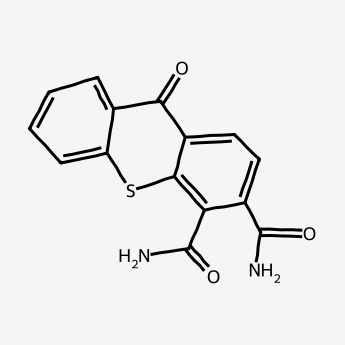 NC(=O)c1ccc2c(=O)c3ccccc3sc2c1C(N)=O